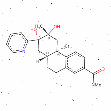 CC[C@@]12C[C@@](C)(O)[C@](O)(c3ccccn3)C[C@H]1CCc1cc(C(=O)NC)ccc12